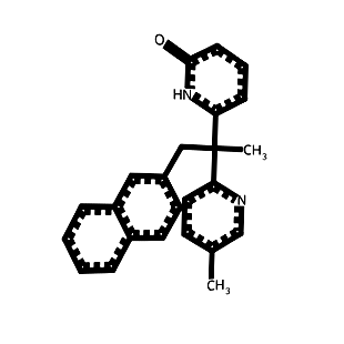 Cc1ccc(C(C)(Cc2ccc3ccccc3c2)c2cccc(=O)[nH]2)nc1